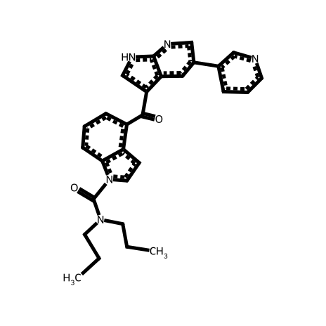 CCCN(CCC)C(=O)n1ccc2c(C(=O)c3c[nH]c4ncc(-c5cccnc5)cc34)cccc21